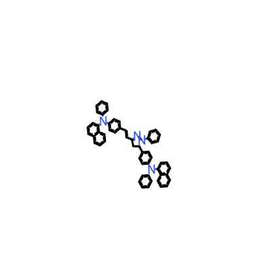 C(=Cc1ccc(N(c2ccccc2)c2cccc3ccccc23)cc1)C1=NN(c2ccccc2)C(c2ccc(N(c3ccccc3)c3cccc4ccccc34)cc2)C1